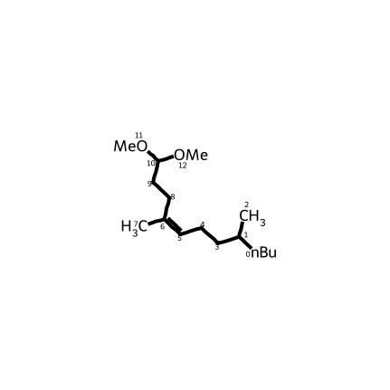 CCCCC(C)CCC=C(C)CCC(OC)OC